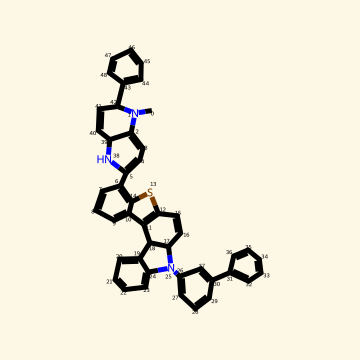 CN1C2=CC=C(c3cccc4c5c(sc34)C=CC3C5c4ccccc4N3c3cccc(-c4ccccc4)c3)NC2C=CC1c1ccccc1